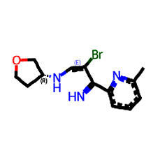 Cc1cccc(C(=N)/C(Br)=C\N[C@@H]2CCOC2)n1